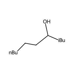 CCCCCCC(O)C(C)CC